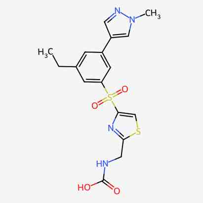 CCc1cc(-c2cnn(C)c2)cc(S(=O)(=O)c2csc(CNC(=O)O)n2)c1